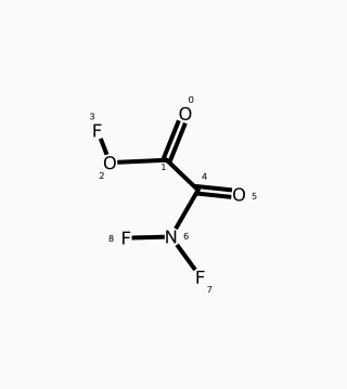 O=C(OF)C(=O)N(F)F